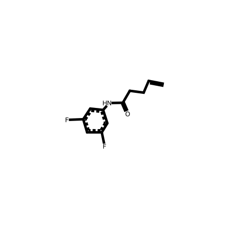 C=CCCC(=O)Nc1cc(F)cc(F)c1